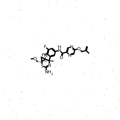 C=C(C)COc1cnc(C(=O)Nc2cc(F)c(F)c([C@]3(C)N=C(N)S[C@@]4(COC)C[C@H]43)c2)cn1